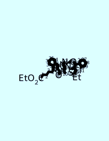 CCOC(=O)CCCCn1c(C(=O)N(C)c2nnc(C)n2-c2sc(CC)cc2C(=O)c2ccccc2Cl)cc2ccccc21